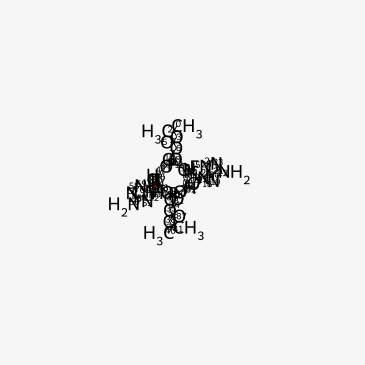 CC(C)OC(=O)OCOP1(=O)CO[C@H]2[C@@H](F)[C@H](n3cnc4c(N)ncnc43)O[C@@H]2COP(=O)(OCOC(=O)OC(C)C)O[C@@H]2[C@H](F)[C@@H](CO1)O[C@H]2n1cnc2c(N)ncnc21